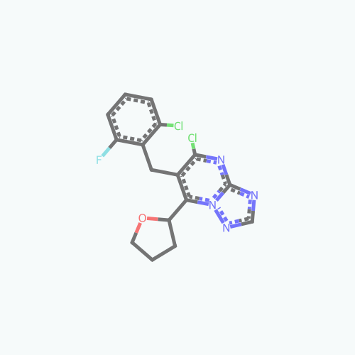 Fc1cccc(Cl)c1Cc1c(Cl)nc2ncnn2c1C1CCCO1